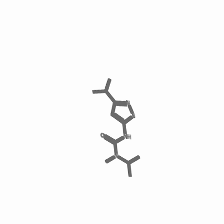 CC(C)c1cc(NC(=O)N(C)C(C)C)sn1